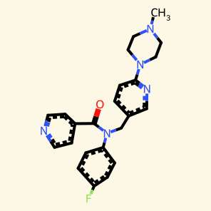 CN1CCN(c2ccc(CN(C(=O)c3ccncc3)c3ccc(F)cc3)cn2)CC1